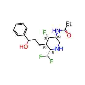 CCC(=O)N[C@H]1CN[C@H](C(F)F)[C@@H](CCC(O)c2ccccc2)[C@@H]1F